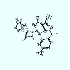 C[C@H](c1cnc(C2CC2)nc1)n1nc(C#N)c2c(=O)[nH]c([C@H]3CC[C@@H]3c3ncc(F)cn3)nc21